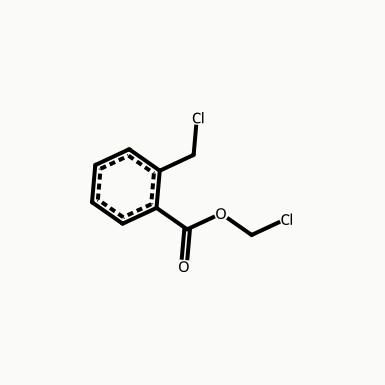 O=C(OCCl)c1ccccc1CCl